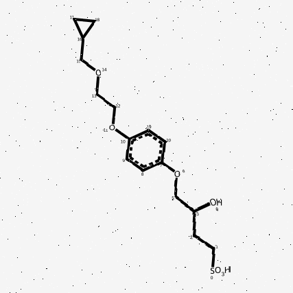 O=S(=O)(O)CCC(O)COc1ccc(OCCOCC2CC2)cc1